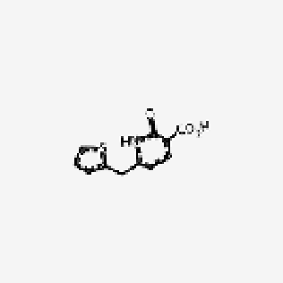 O=C(O)c1ccc(Cc2cccs2)[nH]c1=O